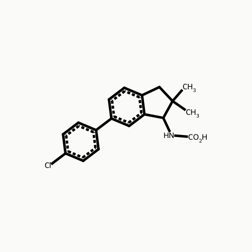 CC1(C)Cc2ccc(-c3ccc(Cl)cc3)cc2C1NC(=O)O